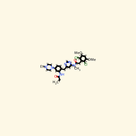 C=CC(=O)Nc1cc(N2CCN(CC)CC2)ccc1Cc1cc(N(C)C(=O)Cc2c(Cl)c(OC)cc(OC)c2Cl)ncn1